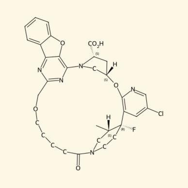 C[C@H]1CN2CC[C@]1(F)c1cc(Cl)cnc1O[C@H]1C[C@@H](C(=O)O)N(C1)c1nc(nc3c1oc1ccccc13)COCCCCC2=O